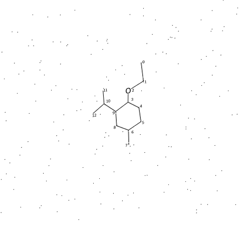 CCOC1CCC(C)CC1C(C)C